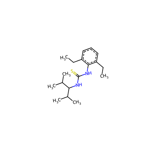 CCc1cccc(CC)c1NC(=S)NC(C(C)C)C(C)C